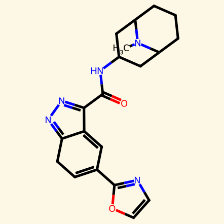 CN1C2CCCC1CC(NC(=O)C1=NN=C3CC=C(c4ncco4)C=C31)C2